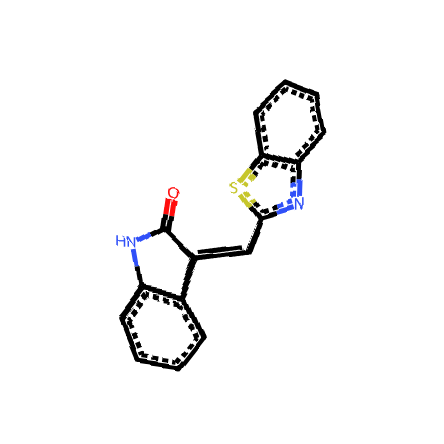 O=C1Nc2ccccc2C1=Cc1nc2ccccc2s1